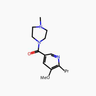 COc1cc(C(=O)N2CCN(C)CC2)cnc1C(C)C